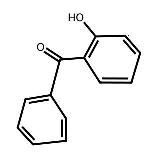 O=C(c1ccccc1)c1ccc[c]c1O